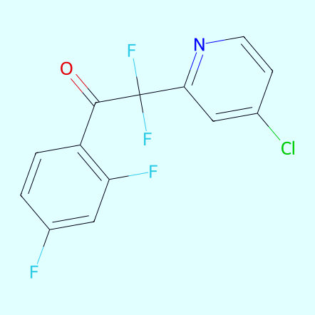 O=C(c1ccc(F)cc1F)C(F)(F)c1cc(Cl)ccn1